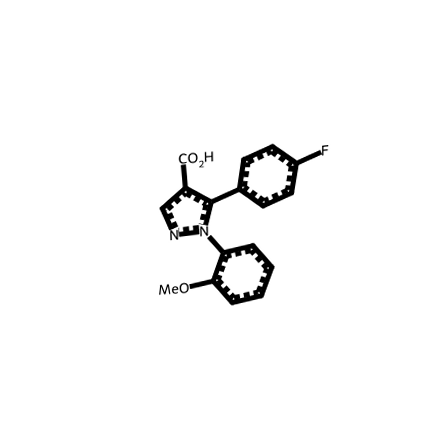 COc1ccccc1-n1ncc(C(=O)O)c1-c1ccc(F)cc1